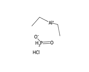 C[CH2][Al+][CH2]C.Cl.O=[PH2][O-]